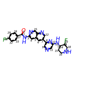 O=C(Nc1cc2cc(-c3cncc(N[C@H]4CCNC[C@@H]4F)n3)cnc2cn1)c1ccc(F)cc1